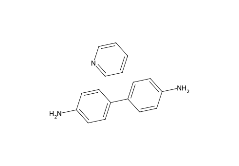 Nc1ccc(-c2ccc(N)cc2)cc1.c1ccncc1